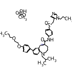 CCCOCCOc1ccc(-c2ccc3c(c2)/C=C(/C(=O)Nc2ccc([S+]([O-])Cc4cncn4CCC)cc2)CCCN3CC(C)C)cc1.CS(=O)(=O)O